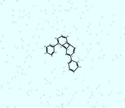 c1ccc(-c2ccc3c(c2)=c2c(-c4ccccc4)cccc2=3)cc1